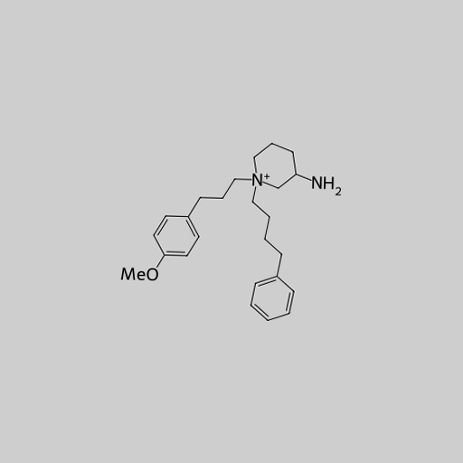 COc1ccc(CCC[N+]2(CCCCc3ccccc3)CCCC(N)C2)cc1